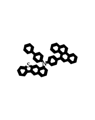 c1ccc(-c2ccc(N(c3ccc(-c4cc5ccccc5c5ccc6ccccc6c45)cc3)c3cccc4cc5c(cc34)sc3ccccc35)cc2)cc1